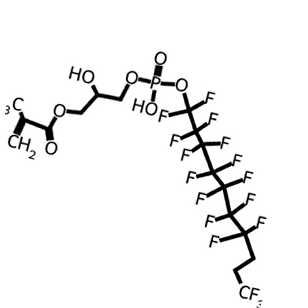 C=C(C)C(=O)OCC(O)COP(=O)(O)OC(F)(F)C(F)(F)C(F)(F)C(F)(F)C(F)(F)C(F)(F)C(F)(F)CCC(F)(F)F